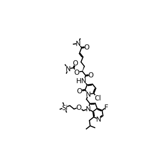 CC(C)Cc1ncc(F)c2cc(Cn3c(Cl)ccc(NC(=O)[C@H](CC/C=C/C(=O)N(C)C)OC(=O)N(C)C)c3=O)n(COCC[Si](C)(C)C)c12